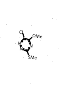 COc1nc(SC)nnc1Cl